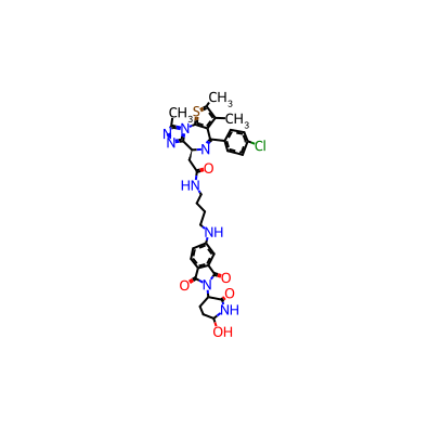 Cc1sc2c(c1C)C(c1ccc(Cl)cc1)=N[C@@H](CC(=O)NCCCCNc1ccc3c(c1)C(=O)N(C1CCC(O)NC1=O)C3=O)c1nnc(C)n1-2